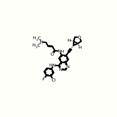 CN(C)C/C=C/C(=O)Nc1cc2c(Nc3ccc(F)c(Cl)c3)ncnc2cc1C#C[C@@H]1[C@H]2COC[C@@H]12